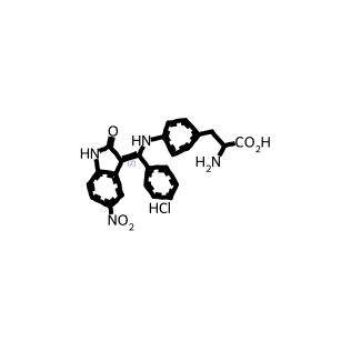 Cl.NC(Cc1ccc(N/C(=C2\C(=O)Nc3ccc([N+](=O)[O-])cc32)c2ccccc2)cc1)C(=O)O